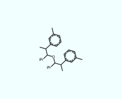 Cc1cccc(C(C)C(OC(C(C)C)C(C)c2cccc(C)c2)C(C)C)c1